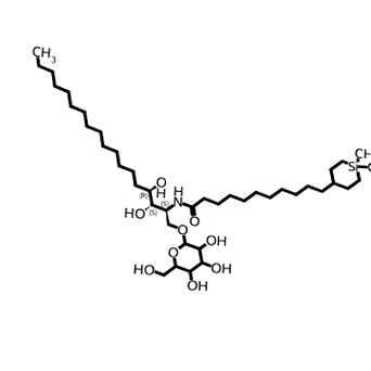 CCCCCCCCCCCCCC[C@@H](O)[C@@H](O)[C@H](COC1OC(CO)C(O)C(O)C1O)NC(=O)CCCCCCCCCCC1CC[Si](C)(C)CC1